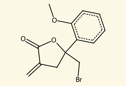 C=C1CC(CBr)(c2ccccc2OC)OC1=O